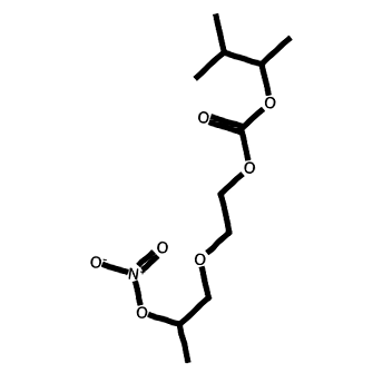 CC(COCCOC(=O)OC(C)C(C)C)O[N+](=O)[O-]